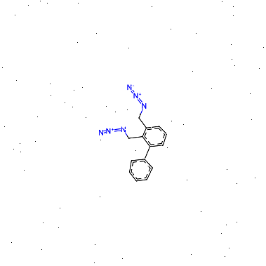 [N-]=[N+]=NCc1cccc(-c2ccccc2)c1CN=[N+]=[N-]